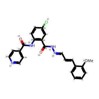 COc1ccccc1C=CC=NNC(=O)c1cc(Cl)ccc1NC(=O)c1ccncc1